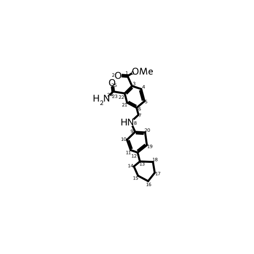 COC(=O)c1ccc(CNc2ccc(C3CCCCC3)cc2)cc1C(N)=O